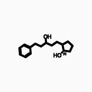 OC(CCc1ccccc1)CCC1CCC[C@H]1O